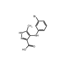 Cc1[nH]nc(C(=O)O)c1Nc1cccc(Br)c1